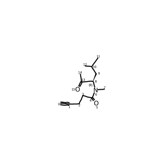 C#CCCC(=O)N(C)[C@H](CC(C)C)C(C)=O